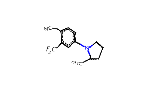 N#Cc1ccc(N2CCCC2C=O)cc1C(F)(F)F